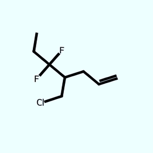 C=CCC(CCl)C(F)(F)CC